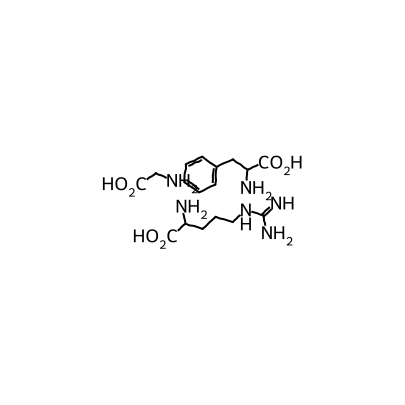 N=C(N)NCCCC(N)C(=O)O.NC(Cc1ccccc1)C(=O)O.NCC(=O)O